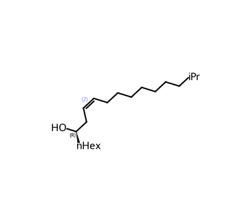 CCCCCC[C@@H](O)C/C=C\CCCCCCCC(C)C